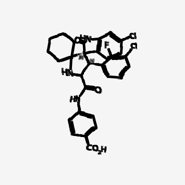 O=C(O)c1ccc(NC(=O)C2NC3(CCCCC3)[C@@]3(C(=O)Nc4cc(Cl)ccc43)[C@H]2c2cccc(Cl)c2F)cc1